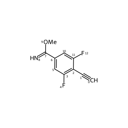 C#Cc1c(F)cc(C(=N)OC)cc1F